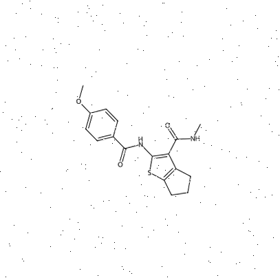 CNC(=O)c1c(NC(=O)c2ccc(OC)cc2)sc2c1CCC2